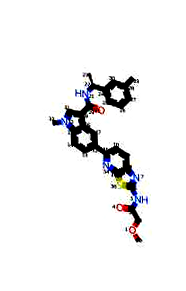 COCC(=O)Nc1nc2ccc(-c3ccc4c(c3)c(C(=O)N[C@@H](C)c3cccc(C)c3)cn4C)nc2s1